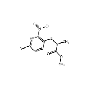 COC(=O)[C@H](C)Oc1ccc(Br)nc1[N+](=O)[O-]